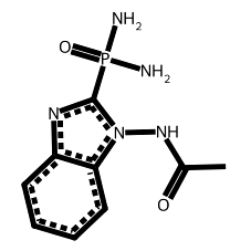 CC(=O)Nn1c(P(N)(N)=O)nc2ccccc21